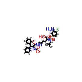 COC(=O)N[C@H](C(=O)NCCCCC(CO)N(CC(C)C)S(=O)(=O)c1ccc(F)c(N)c1)C(c1ccccc1)c1ccccc1